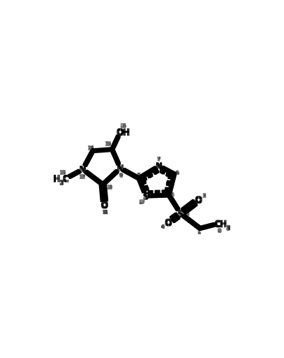 CCS(=O)(=O)c1cnc(N2C(=O)N(C)CC2O)s1